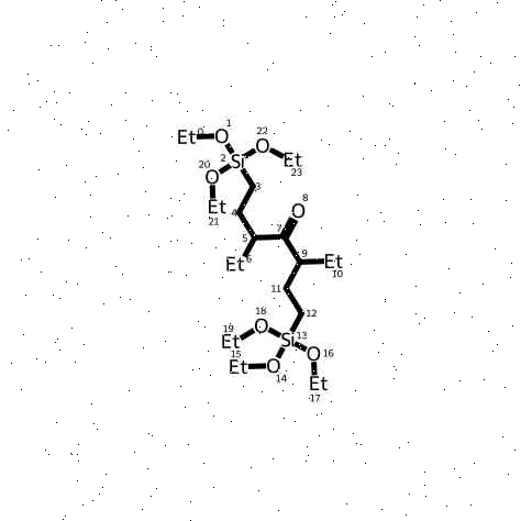 CCO[Si](CCC(CC)C(=O)C(CC)CC[Si](OCC)(OCC)OCC)(OCC)OCC